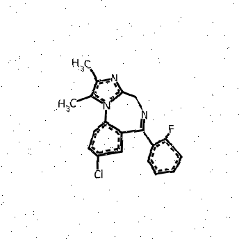 Cc1nc2n(c1C)-c1ccc(Cl)cc1C(c1ccccc1F)=NC2